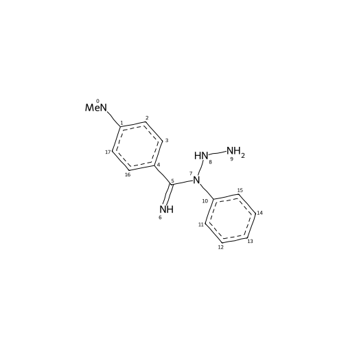 CNc1ccc(C(=N)N(NN)c2ccccc2)cc1